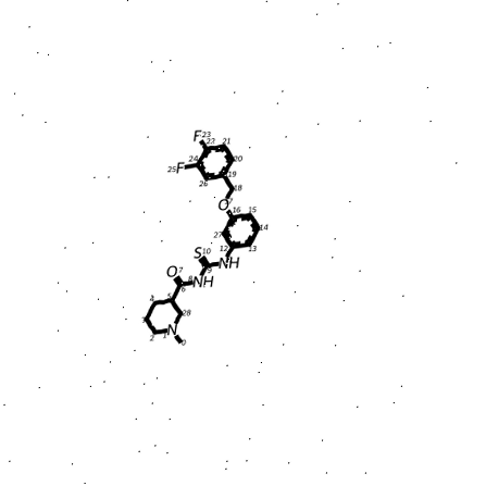 CN1CCCC(C(=O)NC(=S)Nc2cccc(OCc3ccc(F)c(F)c3)c2)C1